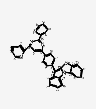 c1ccc(-c2cc(-c3ccc(-c4c5ccccc5n5c4sc4ccccc45)cc3)nc(-c3ccccn3)n2)nc1